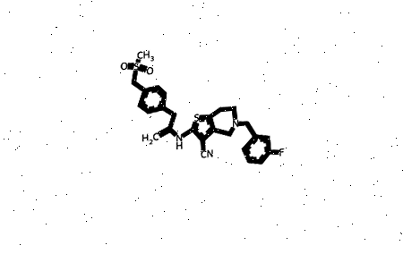 C=C(Cc1ccc(CS(C)(=O)=O)cc1)Nc1sc2c(c1C#N)CN(Cc1cccc(F)c1)CC2